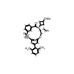 COC1CC(N2C(=O)c3cccc(c3)S(=O)(=O)Nc3nc(cc(-c4c(C)cccc4C)n3)OC[C@H]2CC(C)C)C1